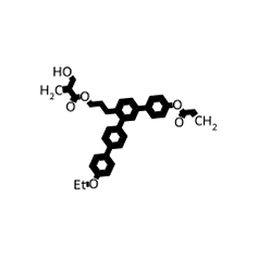 C=CC(=O)Oc1ccc(-c2ccc(CCCOC(=O)C(=C)CO)c(-c3ccc(-c4ccc(OCC)cc4)cc3)c2)cc1